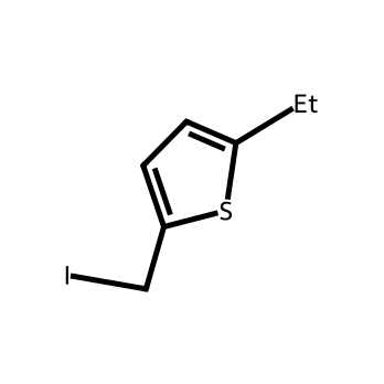 CCc1ccc(CI)s1